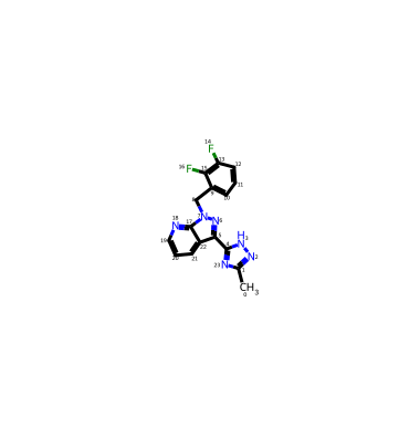 Cc1n[nH]c(-c2nn(Cc3cccc(F)c3F)c3ncccc23)n1